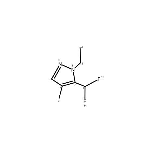 CCn1ncc(I)c1C(F)F